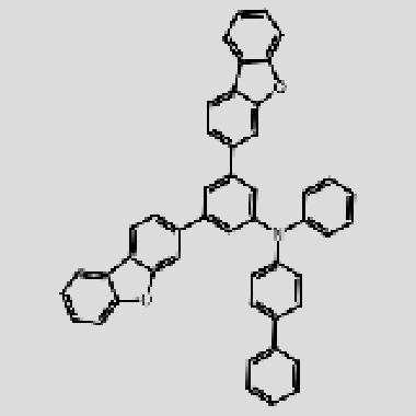 c1ccc(-c2ccc(N(c3ccccc3)c3cc(-c4ccc5c(c4)oc4ccccc45)cc(-c4ccc5c(c4)oc4ccccc45)c3)cc2)cc1